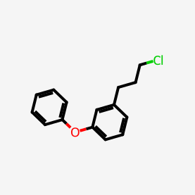 ClCCCc1cccc(Oc2ccccc2)c1